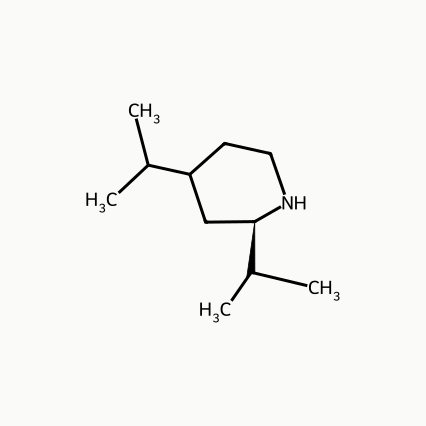 CC(C)C1CCN[C@@H](C(C)C)C1